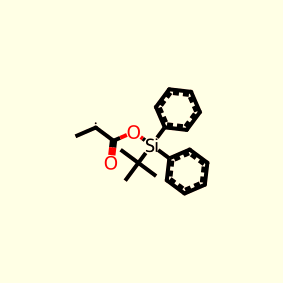 C[CH]C(=O)O[Si](c1ccccc1)(c1ccccc1)C(C)(C)C